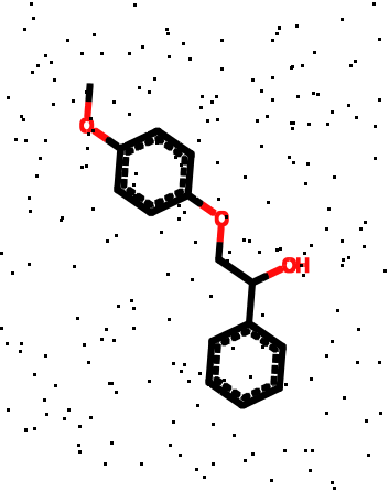 COc1ccc(OCC(O)c2ccccc2)cc1